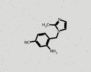 Cc1nccn1Cc1ccc(C#N)cc1N